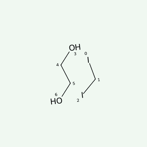 ICI.OCCO